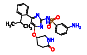 CC(C)c1ccccc1-c1cc(OC2CCC(=O)NC2)nc(NS(=O)(=O)c2cccc(N)c2)n1